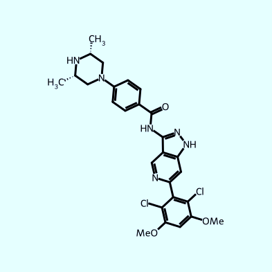 COc1cc(OC)c(Cl)c(-c2cc3[nH]nc(NC(=O)c4ccc(N5C[C@@H](C)N[C@@H](C)C5)cc4)c3cn2)c1Cl